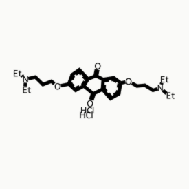 CCN(CC)CCCOc1ccc2c(c1)C(=O)c1ccc(OCCCN(CC)CC)cc1C2=O.Cl.Cl